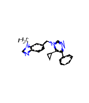 Cn1cnc2ccc(Cn3cnc(-c4ccccc4)c3C3CC3)cc21